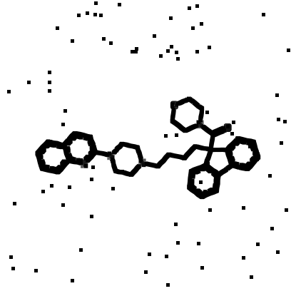 O=C(N1CCOCC1)C1(CCCCN2CCN(c3ccc4ccccc4n3)CC2)c2ccccc2-c2ccccc21